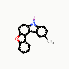 Cc1ccc2c(c1)c1c3c(ccc1n2I)oc1ccccc13